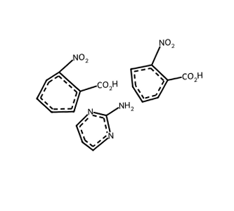 Nc1ncccn1.O=C(O)c1ccccc1[N+](=O)[O-].O=C(O)c1ccccc1[N+](=O)[O-]